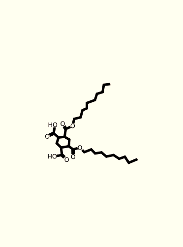 CCCCCCCCCCOC(=O)C1CC(C(=O)OCCCCCCCCCC)C(C(=O)O)CC1C(=O)O